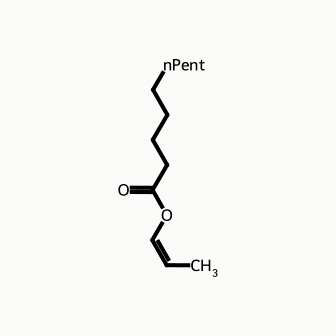 C/C=C\OC(=O)CCCCCCCCC